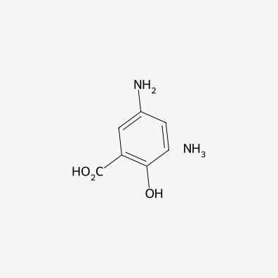 N.Nc1ccc(O)c(C(=O)O)c1